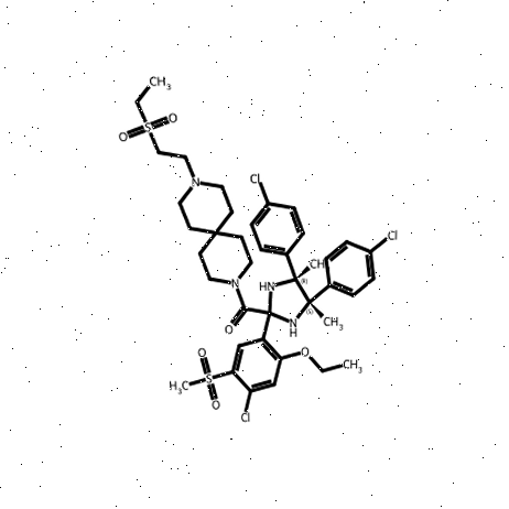 CCOc1cc(Cl)c(S(C)(=O)=O)cc1C1(C(=O)N2CCC3(CCN(CCS(=O)(=O)CC)CC3)CC2)N[C@@](C)(c2ccc(Cl)cc2)[C@@](C)(c2ccc(Cl)cc2)N1